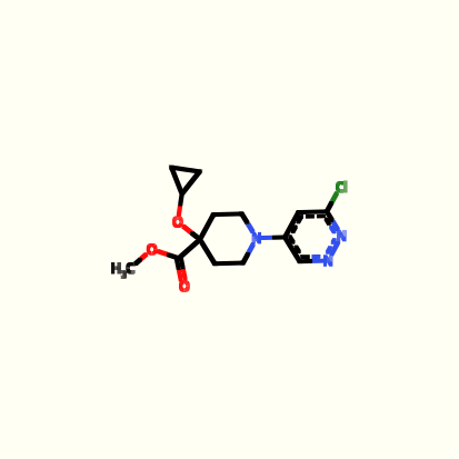 COC(=O)C1(OC2CC2)CCN(c2cnnc(Cl)c2)CC1